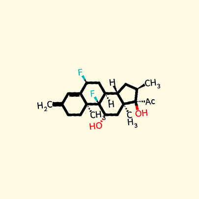 C=C1C=C2[C@@H](F)C[C@H]3[C@@H]4C[C@@H](C)[C@](O)(C(C)=O)[C@@]4(C)C[C@H](O)[C@]3(F)[C@@]2(C)CC1